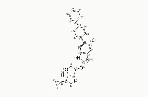 Clc1cc2[nH]c(O[C@@H]3CO[C@H]4C3OC[C@H]4C3CC3)nc2nc1-c1ccc(-c2ccccc2)cc1